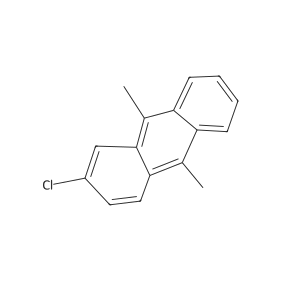 Cc1c2ccccc2c(C)c2cc(Cl)ccc12